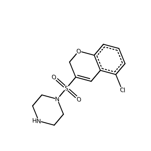 O=S(=O)(C1=Cc2c(Cl)cccc2OC1)N1CCNCC1